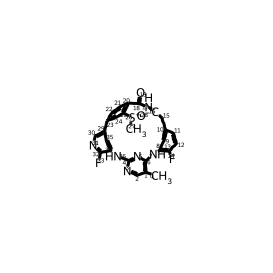 Cc1cnc2nc1Nc1cc(ccc1F)CCNC(=O)c1ccc(cc1[S+](C)[O-])-c1cnc(F)c(c1)N2